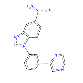 C[C@@H](N)c1ccc2c(c1)ncn2-c1cccc(-c2cnccn2)c1